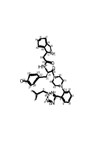 CC(C)Cn1nnc(-c2ccccc2N2CCN(C(=O)[C@@H](Cc3ccc(Cl)cc3)NC(=O)CC3NCc4ccccc43)CC2)n1